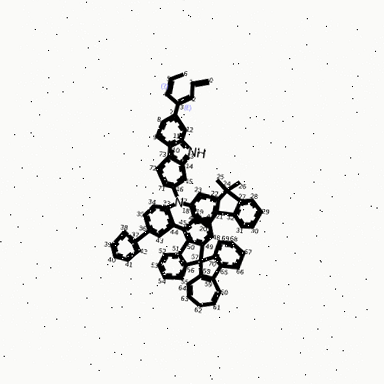 C=C/C=C(\C=C/C)c1ccc2c(c1)[nH]c1cc(N(c3ccc4c(c3)C(C)(C)c3ccccc3-4)c3ccc(-c4ccccc4)cc3-c3cccc4c3-c3ccccc3C43C4=C(C=CCC=C4)c4ccccc43)ccc12